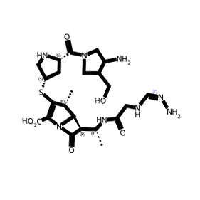 C[C@H]1C(S[C@@H]2CN[C@H](C(=O)N3CC(N)C(CO)C3)C2)=C(C(=O)O)N2C(=O)[C@H]([C@@H](C)NC(=O)CN/C=N\N)C12